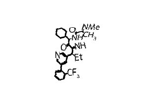 CC[C@H](C(=N)C(=O)[C@@H](NC(=O)[C@H](C)NC)C1CCCCC1)c1cncc(-c2ccccc2C(F)(F)F)c1